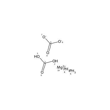 O=C(O)O.O=C([O-])[O-].P.P.[Mg+2]